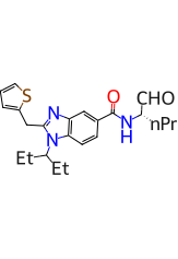 CCC[C@@H](C=O)NC(=O)c1ccc2c(c1)nc(Cc1cccs1)n2C(CC)CC